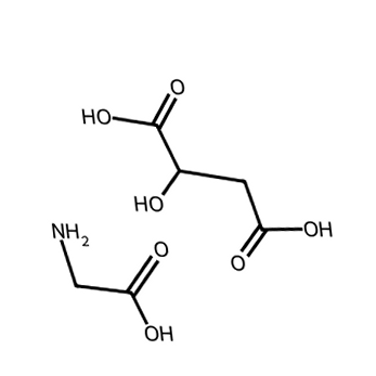 NCC(=O)O.O=C(O)CC(O)C(=O)O